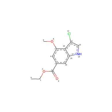 CCOC(=O)c1cc(OC)c2c(Cl)c[nH]c2c1